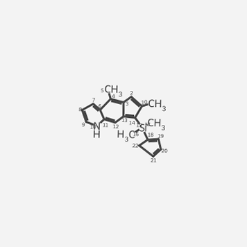 Cc1cc2c(C)c3ccc[nH]c3cc2c1[Si](C)(C)C1=CC=CC1